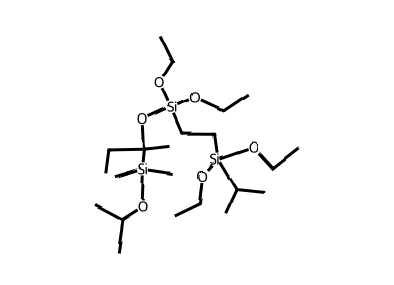 CCO[Si](CC[Si](OCC)(OCC)C(C)C)(OCC)OC(C)(CC)[Si](C)(C)OC(C)C